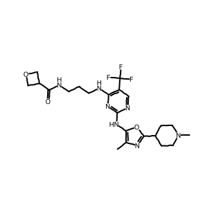 Cc1nc(C2CCN(C)CC2)oc1Nc1ncc(C(F)(F)F)c(NCCCNC(=O)C2COC2)n1